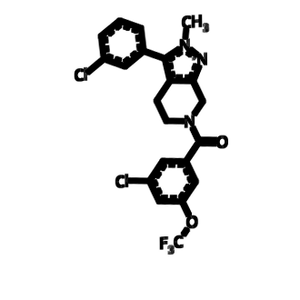 Cn1nc2c(c1-c1cccc(Cl)c1)CCN(C(=O)c1cc(Cl)cc(OC(F)(F)F)c1)C2